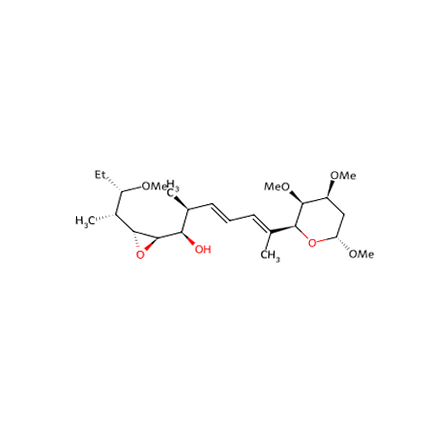 CC[C@H](OC)[C@@H](C)[C@H]1O[C@@H]1[C@H](O)[C@@H](C)/C=C/C=C(\C)[C@@H]1O[C@@H](OC)C[C@H](OC)[C@@H]1OC